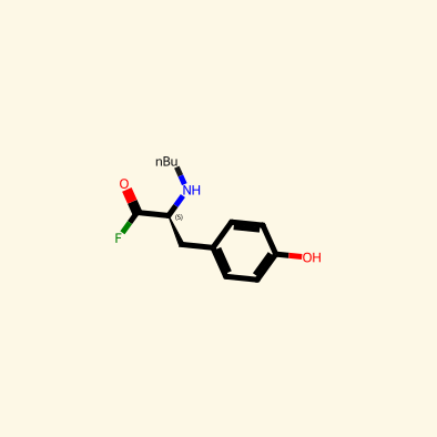 CCCCN[C@@H](Cc1ccc(O)cc1)C(=O)F